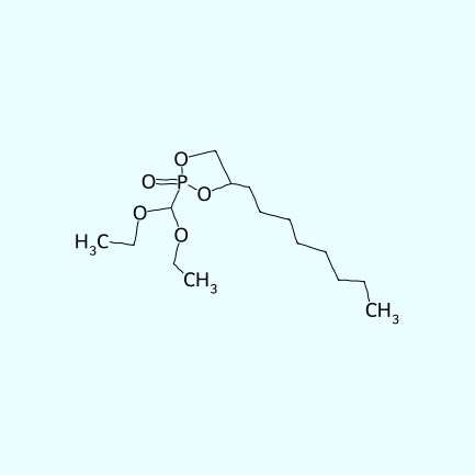 CCCCCCCCC1COP(=O)(C(OCC)OCC)O1